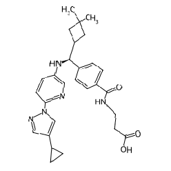 CC1(C)CC([C@H](Nc2ccc(-n3cc(C4CC4)cn3)nc2)c2ccc(C(=O)NCCC(=O)O)cc2)C1